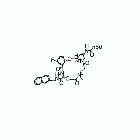 CCCCC(=O)N[C@@H]1C[C@H]2COc3ccc(F)cc3C(=O)N(C)[C@H](C(=O)NCc3ccc4ccccc4c3)CCC(=O)N(C)CCC(=O)N2C1